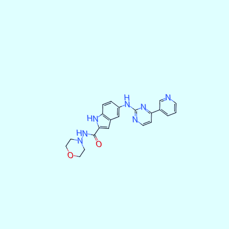 O=C(NN1CCOCC1)c1cc2cc(Nc3nccc(-c4cccnc4)n3)ccc2[nH]1